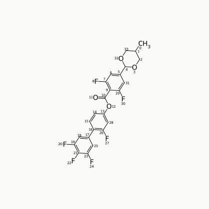 CC1COC(c2cc(F)c(C(=O)Oc3ccc(-c4cc(F)c(F)c(F)c4)c(F)c3)c(F)c2)OC1